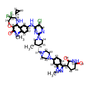 C[C@@H]1CN(c2ncc(Cl)c(Nc3ccc4c(c3)c3c(c(=O)n4C)OCC(F)(F)[C@H](C4CC4)N3)n2)CC[C@@H]1CN1CCN(c2ccc3c(C4CCC(=O)NC4=O)nn(C)c3c2)CC1